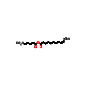 CCCCCCCC/C=C\CCCCCCCC(=O)OC(=O)CCCCC(=O)O